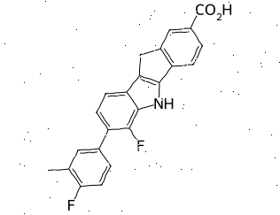 Cc1cc(-c2ccc3c4c([nH]c3c2F)-c2ccc(C(=O)O)cc2C4)ccc1F